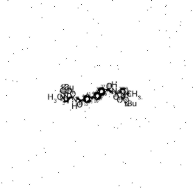 CN1CCC(C(=O)NCC(=O)c2ccc(-c3ccc4cc(C(=O)CNC(=O)[C@@H]5CCN(C)N5C(=O)OC(C)(C)C)ccc4c3)cc2)N1C(=O)OC(C)(C)C